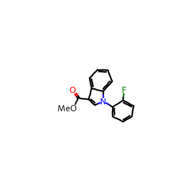 COC(=O)c1cn(-c2ccccc2F)c2ccccc12